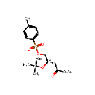 COC(=O)C[C@@H](COS(=O)(=O)c1ccc(C)cc1)O[Si](C)(C)C(C)(C)C